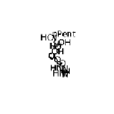 CCCCC[C@@H](O)CCC1[C@H](O)C[C@@H]2Cc3c(cccc3OCC(=O)Nc3nnn[nH]3)C[C@H]12